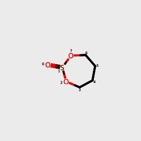 O=S1OCCCCO1